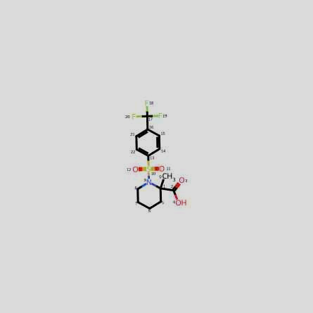 CC1(C(=O)O)CCCCN1S(=O)(=O)c1ccc(C(F)(F)F)cc1